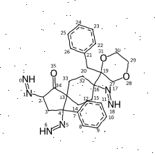 N=NC1CC(N=N)(c2ccccc2)C2(CCC(N=N)(C3(Cc4ccccc4)COCCO3)CC2)C1=O